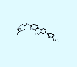 Cc1ccn(-c2ccc(-c3ccc(OC4CC5CC(F)C(C4)N5)nn3)c(O)c2)n1